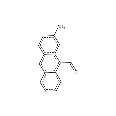 Nc1ccc2cc3ccccc3c(C=O)c2c1